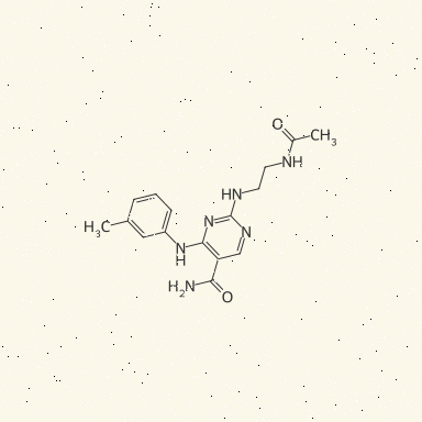 CC(=O)NCCNc1ncc(C(N)=O)c(Nc2cccc(C)c2)n1